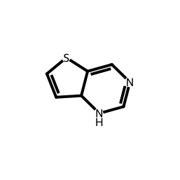 C1=CC2NC=NC=C2S1